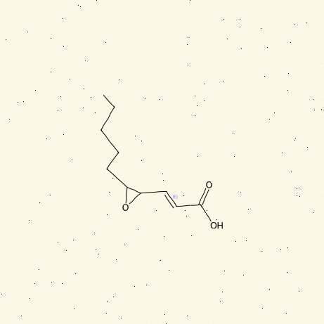 CCCCCC1OC1/C=C/C(=O)O